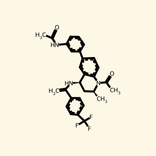 C=C(N[C@@H]1C[C@H](C)N(C(C)=O)c2ccc(-c3cccc(NC(C)=O)c3)cc21)c1ccc(C(F)(F)F)cc1